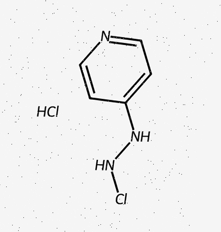 Cl.ClNNc1ccncc1